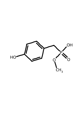 COP(=O)(O)Cc1ccc(O)cc1